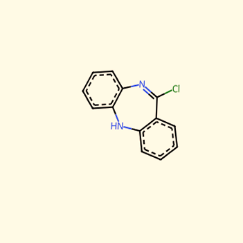 ClC1=Nc2ccccc2Nc2ccccc21